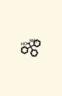 N[C@H](O)C(c1ccccc1)(c1ccccc1)c1ccccc1